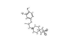 CC(Cc1ccc(F)c(F)c1)CN1CCC2(CC1)CS(=O)(=O)C2